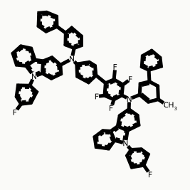 CC1C=C(N(c2ccc3c(c2)c2ccccc2n3-c2ccc(F)cc2)c2c(F)c(F)c(-c3ccc(N(c4cccc(-c5ccccc5)c4)c4ccc5c(c4)c4ccccc4n5-c4ccc(F)cc4)cc3)c(F)c2F)C=C(c2ccccc2)C1